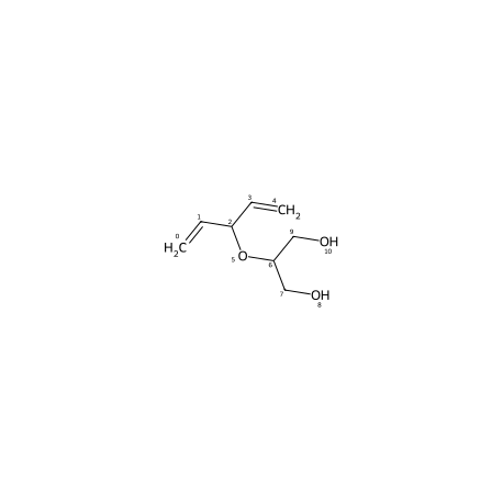 C=CC(C=C)OC(CO)CO